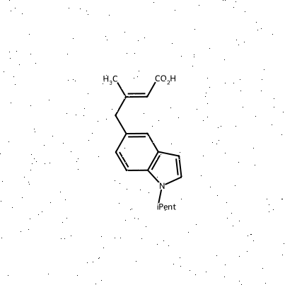 CCCC(C)n1ccc2cc(CC(C)=CC(=O)O)ccc21